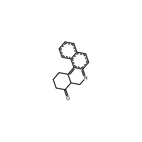 O=C1CCCC2=c3c(ccc4ccccc34)=NCC12